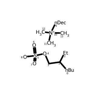 CCCCC(CC)COS(=O)(=O)[O-].CCCCCCCCCC[N+](C)(C)C